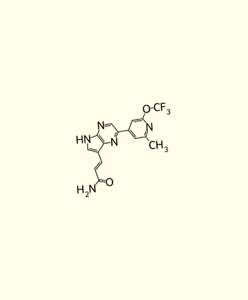 Cc1cc(-c2cnc3[nH]cc(/C=C/C(N)=O)c3n2)cc(OC(F)(F)F)n1